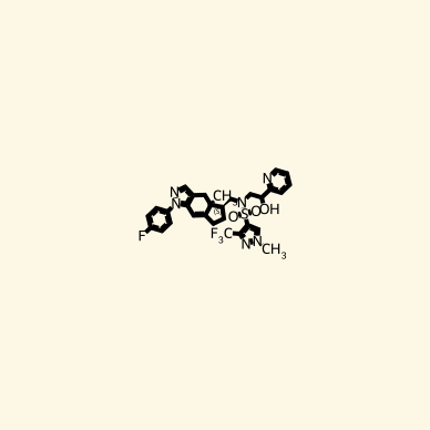 Cn1cc(S(=O)(=O)N(CC(O)c2ccccn2)C[C@H]2CCC3=Cc4c(cnn4-c4ccc(F)cc4)C[C@@]32C)c(C(F)(F)F)n1